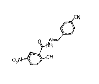 N#Cc1ccc(/C=N/NC(=O)c2cc([N+](=O)[O-])ccc2O)cc1